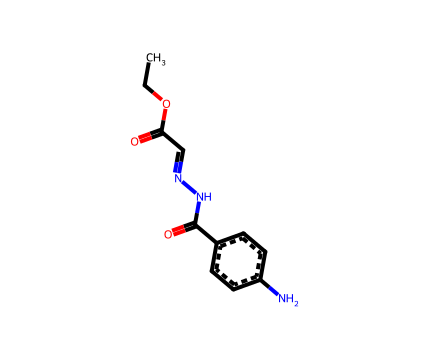 CCOC(=O)/C=N/NC(=O)c1ccc(N)cc1